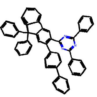 c1ccc(-c2ccc(-c3cc4c(cc3-c3nc(-c5ccccc5)nc(-c5ccccc5)n3)-c3ccccc3C4(c3ccccc3)c3ccccc3)cc2)cc1